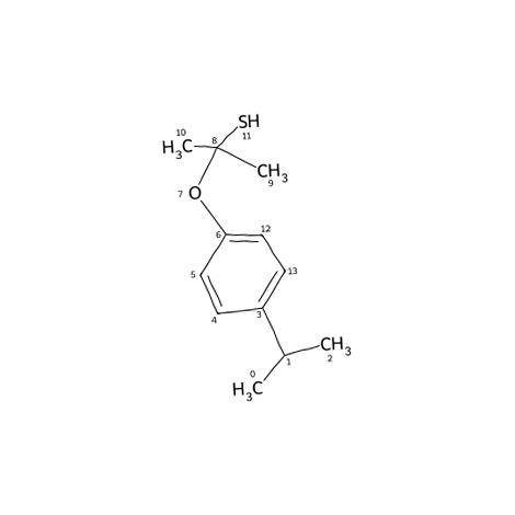 CC(C)c1ccc(OC(C)(C)S)cc1